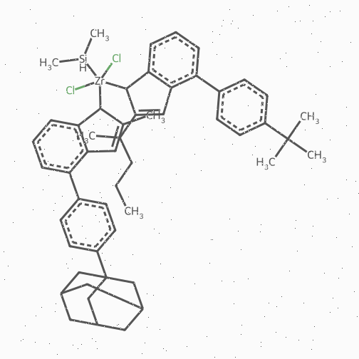 CCCC(C)C1=Cc2c(-c3ccc(C(C)(C)C)cc3)cccc2[CH]1[Zr]([Cl])([Cl])([CH]1C(C)=Cc2c(-c3ccc(C45CC6CC(CC(C6)C4)C5)cc3)cccc21)[SiH](C)C